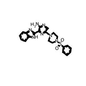 Nc1ncc(N2CCN(S(=O)(=O)c3ccccc3)CC2)nc1-c1nc2ccccc2[nH]1